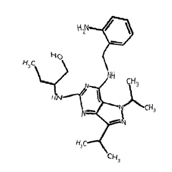 CCC(CO)Nc1nc(NCc2ccccc2N)c2c(n1)c(C(C)C)nn2C(C)C